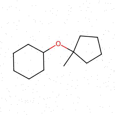 CC1(OC2CCCCC2)CCCC1